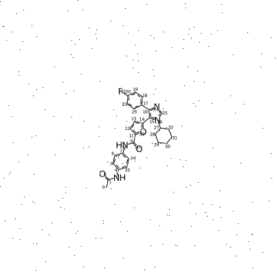 CC(=O)Nc1ccc(NC(=O)c2ccc(-c3c(-c4ccc(F)cc4)ncn3C3CCCCC3)o2)cc1